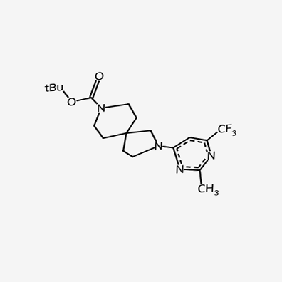 Cc1nc(N2CCC3(CCN(C(=O)OC(C)(C)C)CC3)C2)cc(C(F)(F)F)n1